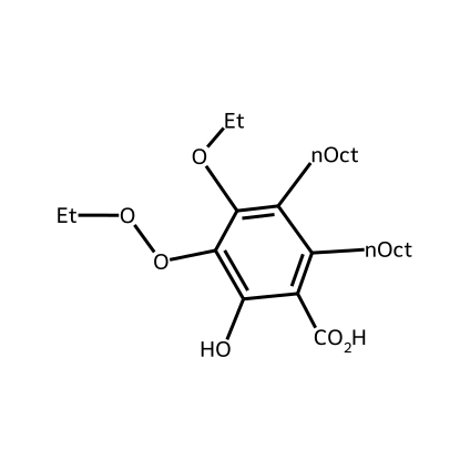 CCCCCCCCc1c(CCCCCCCC)c(C(=O)O)c(O)c(OOCC)c1OCC